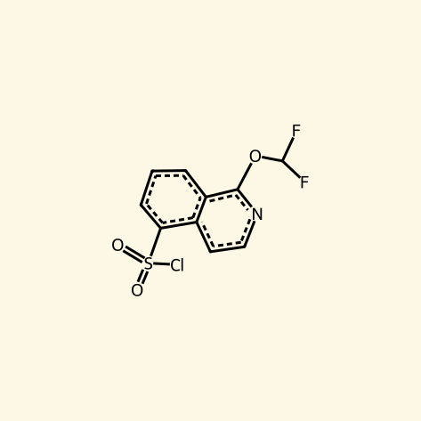 O=S(=O)(Cl)c1cccc2c(OC(F)F)nccc12